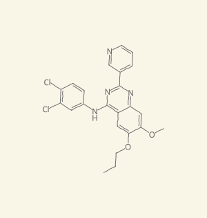 CCCOc1cc2c(Nc3ccc(Cl)c(Cl)c3)nc(-c3cccnc3)nc2cc1OC